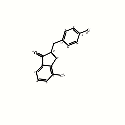 O=C1c2cccc(Cl)c2CC1Cc1ccc(Cl)cc1